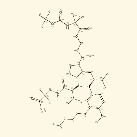 COCCCOc1cc(C[C@@H](C[C@H]2[C@H](C[C@H](C(=O)NCC(C)(C)C(N)=O)C(C)C)OCN2C(=O)OCOC(=O)C2(NC(=O)OC(C)(C)C)CC2)C(C)C)ccc1OC